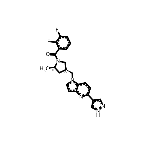 C[C@@H]1C[C@H](Cn2ccc3nc(-c4cn[nH]c4)ccc32)CN1C(=O)c1cccc(F)c1F